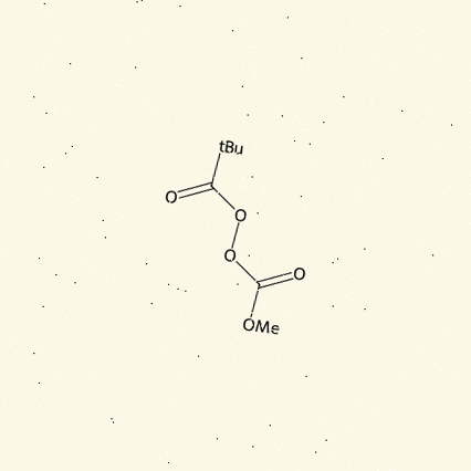 COC(=O)OOC(=O)C(C)(C)C